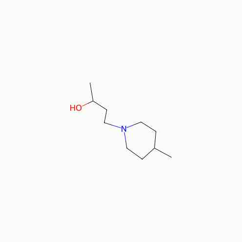 CC(O)CCN1CCC(C)CC1